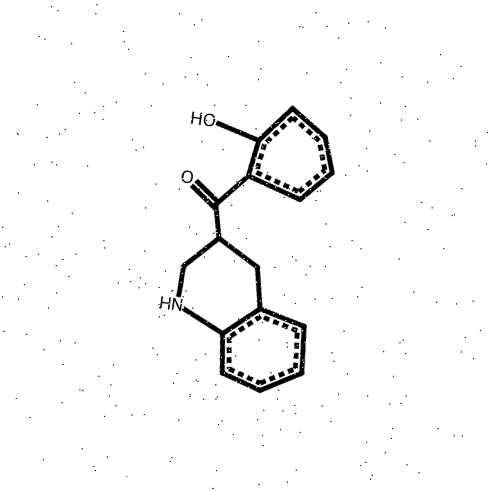 O=C(c1ccccc1O)C1CNc2ccccc2C1